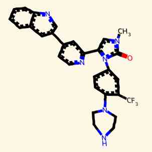 Cn1cc(-c2cc(-c3cnc4ccccc4c3)ccn2)n(-c2ccc(N3CCNCC3)c(C(F)(F)F)c2)c1=O